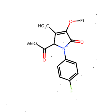 CCOC1=C(C(=O)O)C(C(=O)OC)N(c2ccc(F)cc2)C1=O